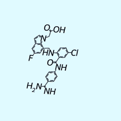 N=C(N)c1ccc(NC(=O)c2cc(Cl)ccc2NCc2cc(F)cc3ccn(CC(=O)O)c23)cc1